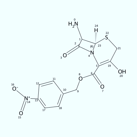 NC1C(=O)N2C(C(=O)OCc3ccc([N+](=O)[O-])cc3)=C(O)CS[C@H]12